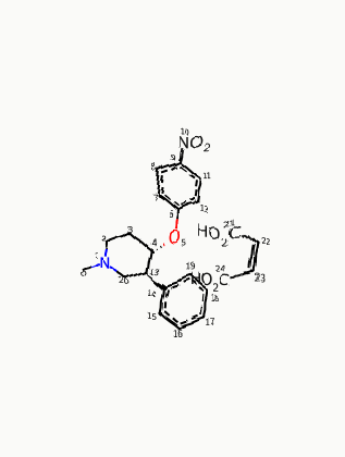 CN1CC[C@H](Oc2ccc([N+](=O)[O-])cc2)[C@@H](c2ccccc2)C1.O=C(O)/C=C\C(=O)O